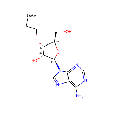 COCCO[C@H]1[C@@H](O)[C@H](n2cnc3c(N)ncnc32)O[C@@H]1CO